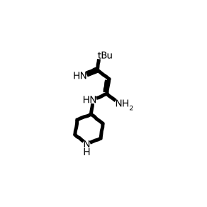 CC(C)(C)C(=N)/C=C(/N)NC1CCNCC1